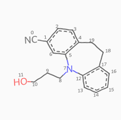 N#Cc1ccc2c(c1)N(CCCO)c1ccccc1CC2